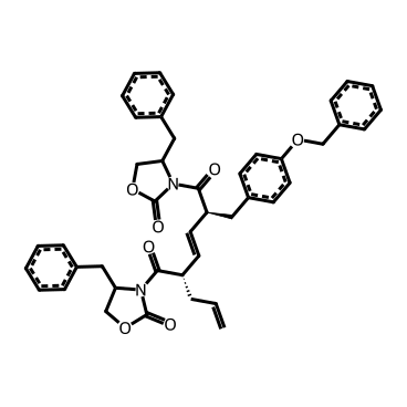 C=CC[C@@H](C=C[C@H](Cc1ccc(OCc2ccccc2)cc1)C(=O)N1C(=O)OCC1Cc1ccccc1)C(=O)N1C(=O)OCC1Cc1ccccc1